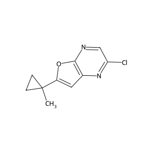 CC1(c2cc3nc(Cl)cnc3o2)CC1